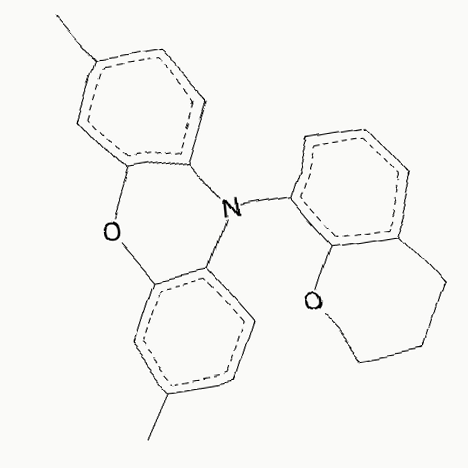 Cc1ccc2c(c1)Oc1cc(C)ccc1N2c1cccc2c1OCCC2